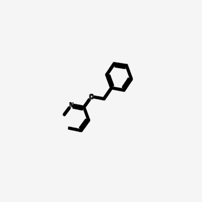 C/C=C\C(=N/C)OCc1ccccc1